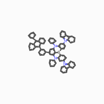 c1ccc(-c2c3ccccc3c(-c3cccc(-c4cc5c6c(c4)N(c4ccccc4)c4cc(-n7c8ccccc8c8ccccc87)ccc4B6c4ccc(-n6c7ccccc7c7ccccc76)cc4N5c4ccccc4)c3)c3ccccc23)cc1